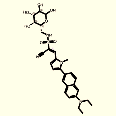 CCN(CC)c1ccc2cc(-c3ccc(/C=C(\C#N)S(=O)(=O)NC[C@H]4OC(O)[C@H](O)[C@@H](O)[C@@H]4O)n3C)ccc2c1